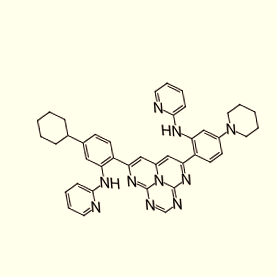 C1=NC2=NC(c3ccc(C4CCCCC4)cc3Nc3ccccn3)=CC3=CC(c4ccc(N5CCCCC5)cc4Nc4ccccn4)=NC(=N1)N32